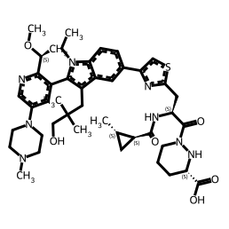 CCn1c(-c2cc(N3CCN(C)CC3)cnc2[C@H](C)OC)c(CC(C)(C)CO)c2cc(-c3csc(C[C@H](NC(=O)[C@H]4C[C@@H]4C)C(=O)N4CCC[C@@H](C(=O)O)N4)n3)ccc21